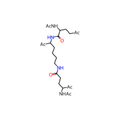 CC(=O)CCC(NC(C)=O)C(=O)NC(CCCCNC(=O)CCC(NC(C)=O)C(C)=O)C(C)=O